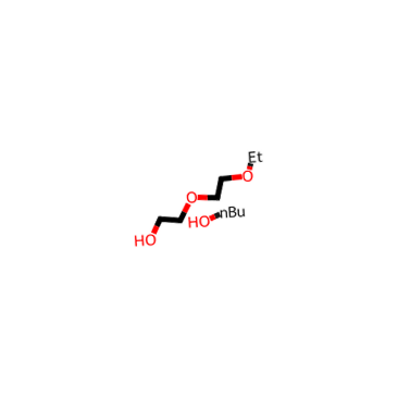 CCCCO.CCOCCOCCO